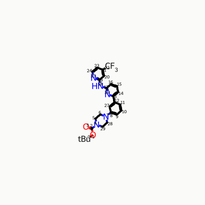 CC(C)(C)OC(=O)N1CCN(c2cccc(-c3cccc(Nc4cc(C(F)(F)F)ccn4)n3)c2)CC1